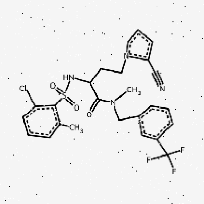 Cc1cccc(Cl)c1S(=O)(=O)NC(CCn1cccc1C#N)C(=O)N(C)Cc1cccc(C(F)(F)F)c1